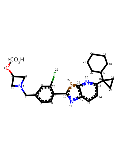 O=C(O)OC1CN(Cc2ccc(-c3nc4ccc(C5(C6CCCCC6)CC5)nc4s3)c(F)c2)C1